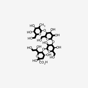 CC1[C@H](O[C@H]2C(CO)O[C@H](O[C@@H]3C(O)[C@H](O[C@H]4C([C@H](O)CO)O[C@@](O)(C(=O)O)C[C@H]4O)OC(CO)[C@@H]3O)C(O)[C@H]2O)OC(CO)[C@H](O)[C@@H]1O